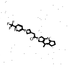 Cc1c2c(nc3c1CN(C(=O)CC1CN(c4ccc(C(F)(F)F)nc4)C1)C3)CCC2